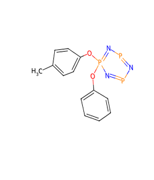 Cc1ccc(OP2(Oc3ccccc3)=NP=NP=N2)cc1